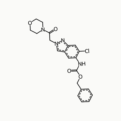 O=C(Nc1cc2cn(CC(=O)N3CCOCC3)nc2cc1Cl)OCc1ccccc1